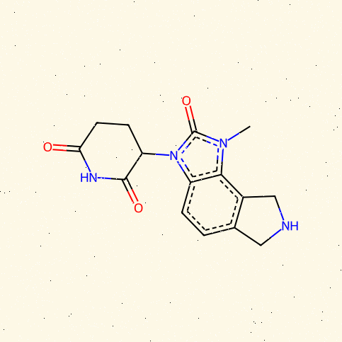 Cn1c(=O)n(C2CCC(=O)NC2=O)c2ccc3c(c21)CNC3